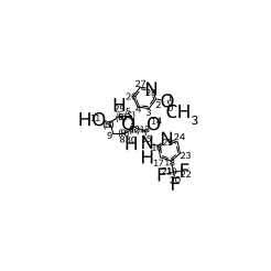 COc1cc([C@H]2[C@H]3O[C@H](C[C@@H]3O)[C@@H]2C(=O)Nc2cc(C(F)(F)F)ccn2)ccn1